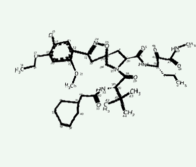 CCC[C@H](NC(=O)[C@@H]1C[C@]2(CC(c3cc(Cl)c(OCC)cc3OC)=NO2)CN1C(=O)[C@@H](NC(=O)CC1CCCCC1)C(C)(C)C)C(=O)C(=O)NC